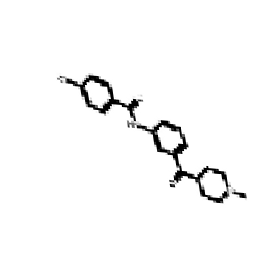 CN1CCC(C(=O)c2cccc(NC(=O)c3ccc(Cl)cc3)c2)CC1